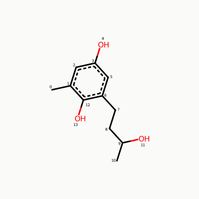 Cc1cc(O)cc(CCC(C)O)c1O